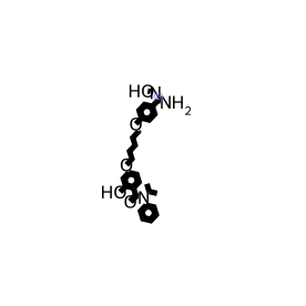 CC(C)N(C(=O)c1ccc(OCCCCCOc2ccc(/C(N)=N\O)cc2)cc1O)c1ccccc1